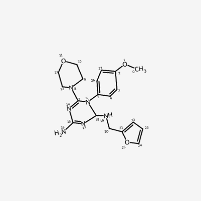 COc1ccc(N2C(N3CCOCC3)=NC(N)=NC2NCc2ccco2)cc1